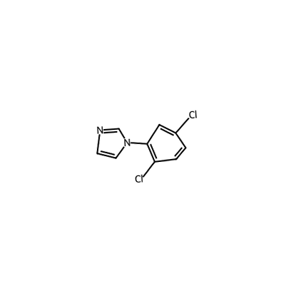 Clc1ccc(Cl)c(-n2ccnc2)c1